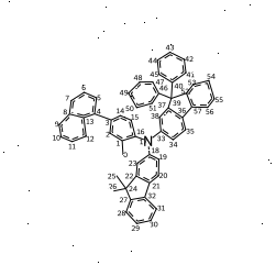 Cc1cc(-c2cccc3ccccc23)ccc1N(c1ccc2c(c1)C(C)(C)c1ccccc1-2)c1ccc2c(c1)C(c1ccccc1)(c1ccccc1)c1ccccc1-2